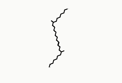 [CH2]CCCCCCC(C)CCC=CCCCCCCCC(C)CCCCCC[CH2]